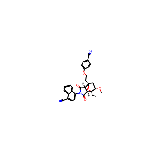 CC[C@]12O[C@](CCOc3ccc(C#N)cc3)(C[C@@H]1OC)[C@H]1C(=O)N(c3ccc(C#N)c4ccccc34)C(=O)[C@H]12